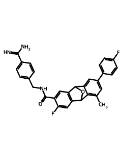 Cc1cc(-c2ccc(F)cc2)cc2c1C1OC2c2cc(C(=O)NCc3ccc(C(=N)N)cc3)c(F)cc21